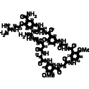 COc1ccc(NC(=O)CNC(=O)c2cc(NC(=O)CNC(=O)c3cc(NC(=O)[C@@H](C)NC(=O)CCCCNC(=N)N)ccc3OC)ccc2OC)cc1C(=O)NCC(=O)Nc1ccc(OCCNC(=N)N)c(C(N)=O)c1